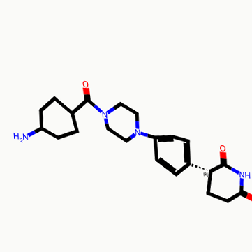 NC1CCC(C(=O)N2CCN(c3ccc([C@H]4CCC(=O)NC4=O)cc3)CC2)CC1